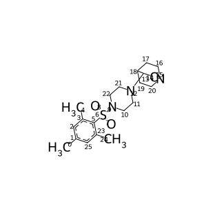 Cc1cc(C)c(S(=O)(=O)N2CCN(C3CN4CCC3CC4)CC2)c(C)c1